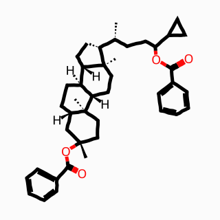 C[C@H](CCC(OC(=O)c1ccccc1)C1CC1)[C@H]1CC[C@H]2[C@@H]3CC[C@H]4C[C@@](C)(OC(=O)c5ccccc5)CC[C@]4(C)[C@H]3CC[C@]12C